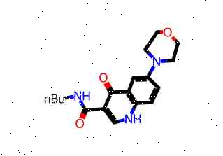 CCCCNC(=O)c1c[nH]c2ccc(N3CCOCC3)cc2c1=O